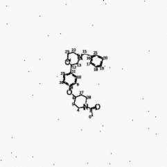 CC(=O)N1CCC(Oc2ccc(C3CN(Cc4ccccc4)CCO3)cc2)CC1